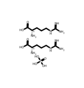 N=C(N)NCCC[C@H](N)C(=O)O.N=C(N)NCCC[C@H](N)C(=O)O.O=P(O)(O)O